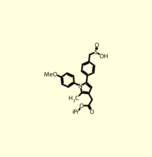 COc1ccc(-n2c(-c3ccc(CS(=O)O)cc3)cc(CC(=O)OC(C)C)c2C)cc1